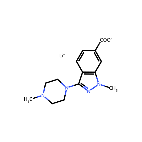 CN1CCN(c2nn(C)c3cc(C(=O)[O-])ccc23)CC1.[Li+]